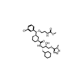 COC(=O)NCCO[C@@H](c1cccc(Cl)c1)[C@@H]1CCCN(C(=O)N[C@@H](CC2CCCCC2)[C@@H](O)CSc2nnnn2C)C1